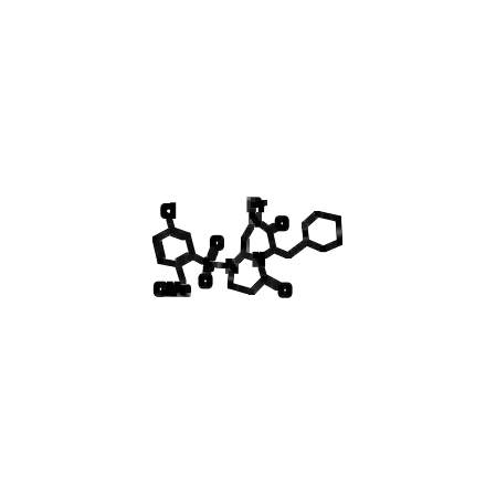 COc1ccc(Cl)cc1S(=O)(=O)N1CCC(=O)N2C1=CN(C(C)C)C(=O)C2CC1CCCCC1